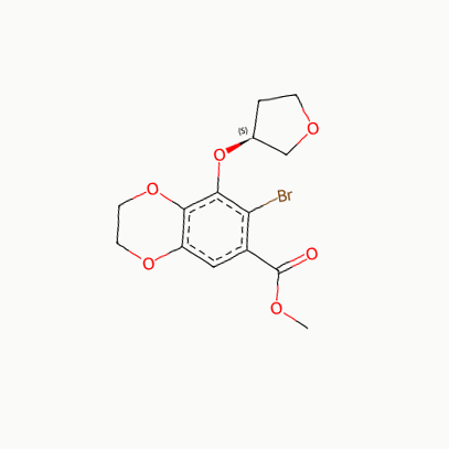 COC(=O)c1cc2c(c(O[C@H]3CCOC3)c1Br)OCCO2